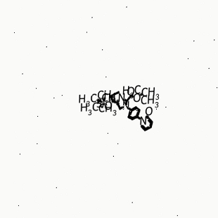 CC(C)(C)OC(=O)C1N(c2ccc(-n3ccccc3=O)cc2)CC2[C@@H](O[Si](C)(C)C(C)(C)C)CCN21